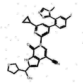 Cn1cnnc1-c1cc(F)ccc1-c1cc(C2CC2)nc(-n2cc(C#N)c3cc(C(O)C4CCOC4)[nH]c3c2=O)c1